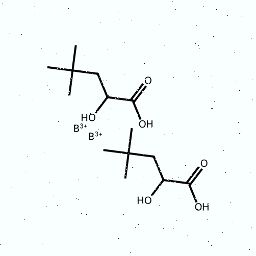 CC(C)(C)CC(O)C(=O)O.CC(C)(C)CC(O)C(=O)O.[B+3].[B+3]